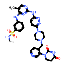 Cc1cnc(Nc2ccc(N3CCN(Cc4ccncc4N4CCC(=O)NC4=O)CC3)nn2)nc1Nc1cccc(S(=O)(=O)NC(C)(C)C)c1